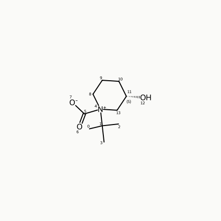 CC(C)(C)[N+]1(C(=O)[O-])CCC[C@H](O)C1